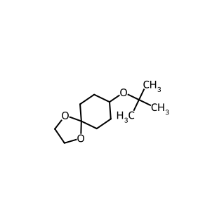 CC(C)(C)OC1CCC2(CC1)OCCO2